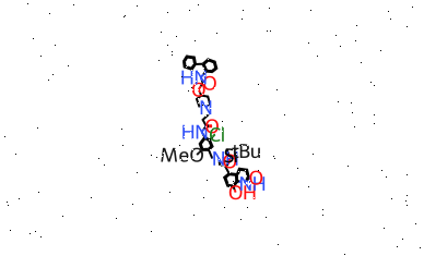 COc1cc(NC(=O)CCN2CCC(OC(=O)Nc3ccccc3-c3ccccc3)CC2)c(Cl)cc1CNC[C@H](O[Si](C)(C)C(C)(C)C)c1ccc(O)c2[nH]c(=O)ccc12